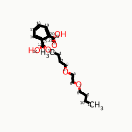 CCCCOCCOCCCC.O=C(O)c1ccccc1C(=O)O